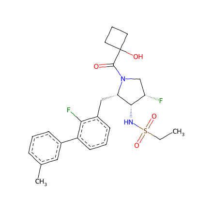 CCS(=O)(=O)N[C@H]1[C@@H](F)CN(C(=O)C2(O)CCC2)[C@H]1Cc1cccc(-c2cccc(C)c2)c1F